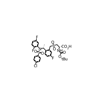 C[C@H](c1ccc(F)cc1CS(=O)(=O)C[C@@H](NC(=O)OC(C)(C)C)C(=O)O)N(c1cc(F)ccc1F)S(=O)(=O)c1ccc(Cl)cc1